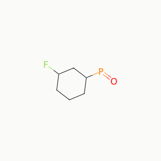 O=PC1CCCC(F)C1